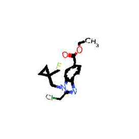 CCOC(=O)c1ccc2nc(CCl)n(CC3(CF)CC3)c2c1